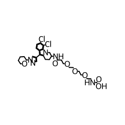 O=C(O)NCCOCCOCCOCCC(=O)NC1CCc2c(-c3cnn(C4CCCCO4)c3)c3ccc(Cl)c(Cl)c3n2C1